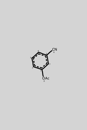 CC(=O)Oc1c[c]cc(C#N)c1